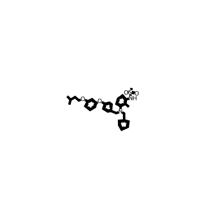 Cc1c(NS(C)(=O)=O)cccc1N(Cc1ccccc1)Cc1ccc(Oc2cccc(OCCC(C)C)c2)cc1